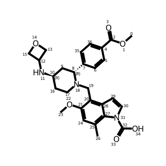 COC(=O)c1ccc([C@H]2C[C@H](NC3COC3)CCN2Cc2c(OC)cc(C)c3c2ccn3C(=O)O)cc1